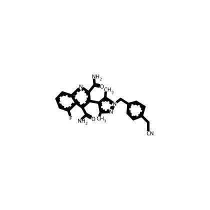 Cc1nn(Cc2ccc(CC#N)cc2)c(C)c1-c1c(C(N)=O)nc2cccc(F)c2c1C(N)=O